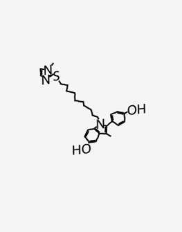 Cc1c(-c2ccc(O)cc2)n(CCCCCCCCCCSc2nccn2C)c2ccc(O)cc12